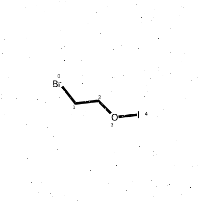 BrCCOI